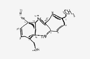 Cc1ccc2nc3c(O)ccc(Br)c3nc2c1